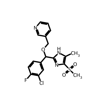 Cc1[nH]c(C(OCc2cccnc2)c2ccc(F)c(Cl)c2)nc1S(C)(=O)=O